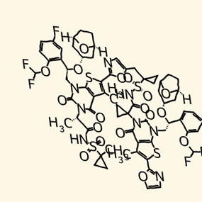 Cc1c(-c2ncc(CC3(S(=O)(=O)NC(=O)C4(n5c(=O)c6c(C)c(-c7ncco7)sc6n(C[C@H](O[C@@H]6CC7CC[C@@H](C6)O7)c6ccccc6OC(F)F)c5=O)CC4)CC3)o2)sc2c1c(=O)n([C@@H](C)C(=O)NS(=O)(=O)C1(C)CC1)c(=O)n2C[C@H](O[C@@H]1C[C@H]2CC[C@@H](C1)O2)c1cc(F)ccc1OC(F)F